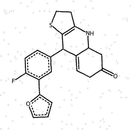 O=C1CC=C2C(C1)NC1=C(SCC1)C2c1ccc(F)c(-c2ccco2)c1